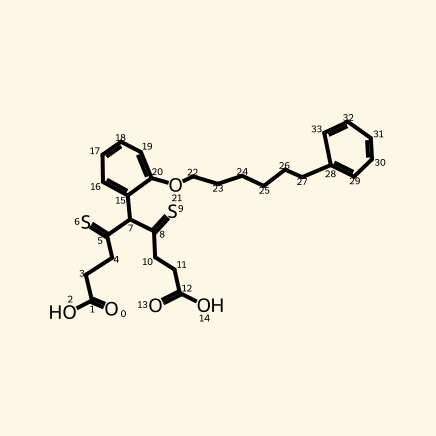 O=C(O)CCC(=S)C(C(=S)CCC(=O)O)c1ccccc1OCCCCCCc1ccccc1